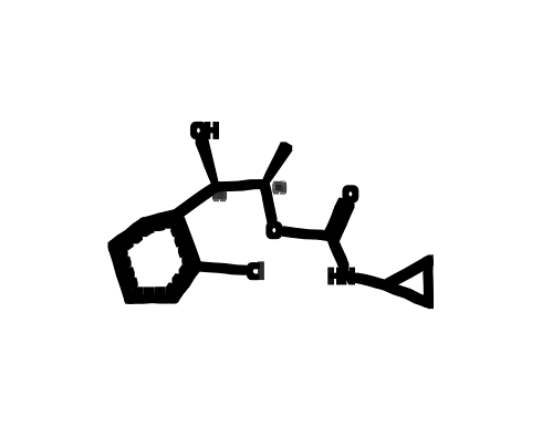 C[C@@H](OC(=O)NC1CC1)[C@H](O)c1ccccc1Cl